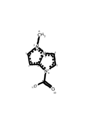 Cn1ccc2n1cc[n+]2C(=O)[O-]